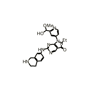 CCn1c(=O)c2cnc(Nc3ccc4c(c3)CNCC4)nc2n1-c1ccnc(C(O)OC)c1